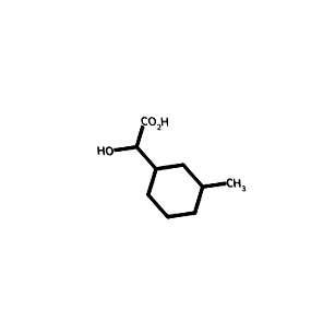 CC1CCCC(C(O)C(=O)O)C1